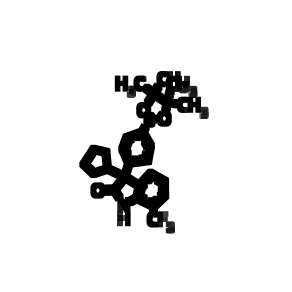 CC1(C)OB(c2ccc(C3(C4CCCC4)C(=O)Nc4c(C(F)(F)F)cccc43)cc2)OC1(C)C